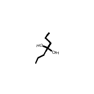 CCCC(O)(O)CCC